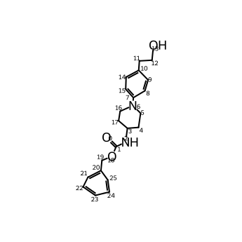 O=C(NC1CCN(c2ccc(CCO)cc2)CC1)OCc1ccccc1